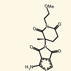 COCCN1C(=O)CC[C@](C)(N2C(=O)c3csc(N)c3C2=O)C1=O